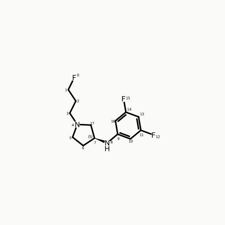 FCCCN1CC[C@H](Nc2cc(F)cc(F)c2)C1